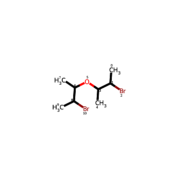 CC(Br)C(C)OC(C)C(C)Br